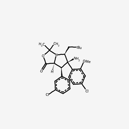 COc1cc(Cl)ccc1[C@@]1(N)[C@H](CC(C)(C)C)N2[C@H](C(=O)OC2(C)C)[C@@H]1c1cccc(Cl)c1